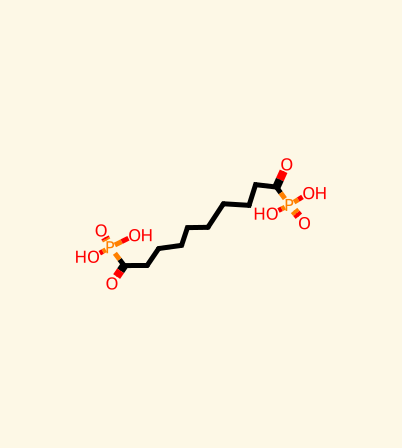 O=C(CCCCCCCCC(=O)P(=O)(O)O)P(=O)(O)O